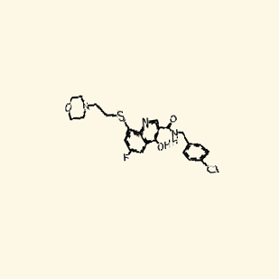 O=C(NCc1ccc(Cl)cc1)c1cnc2c(SCCN3CCOCC3)cc(F)cc2c1O